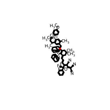 COc1ccc(N2c3cc(C)c(/C=C/C4=C([SH](C56CC7CC(CC(C7)C5)C6)C56CC7CC(CC(C7)C5)C6)C(=C/C=C/C5=C(C#N)C(=C(C#N)C#N)OC5(c5ccccc5)C(F)(F)F)/CC(C)(C)C4)cc3C(C)CC2(C)C)cc1